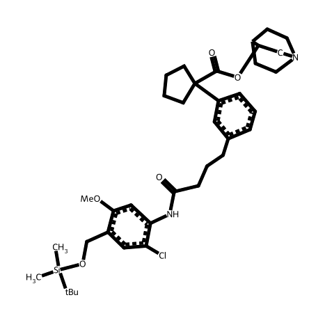 COc1cc(NC(=O)CCCc2cccc(C3(C(=O)OC4CN5CCC4CC5)CCCC3)c2)c(Cl)cc1CO[Si](C)(C)C(C)(C)C